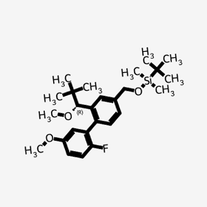 COc1ccc(F)c(-c2ccc(CO[Si](C)(C)C(C)(C)C)cc2[C@H](OC)C(C)(C)C)c1